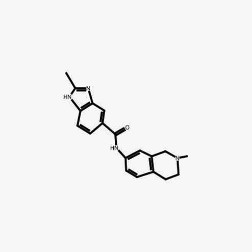 Cc1nc2cc(C(=O)Nc3ccc4c(c3)CN(C)CC4)ccc2[nH]1